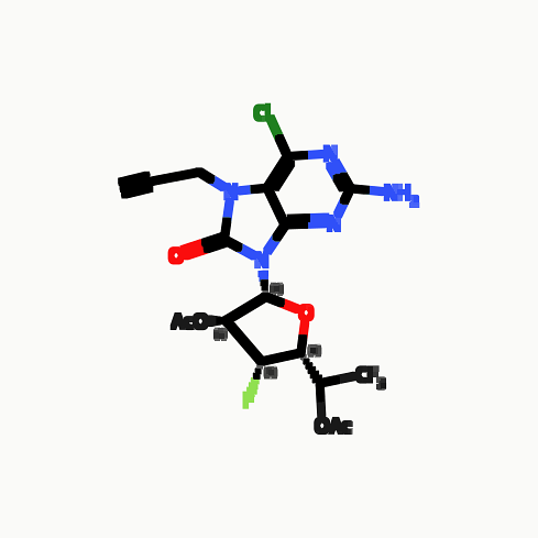 C#CCn1c(=O)n([C@@H]2O[C@H](C(OC(C)=O)C(F)(F)F)[C@H](F)[C@H]2OC(C)=O)c2nc(N)nc(Cl)c21